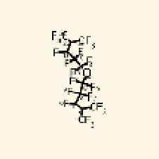 FC(C(C(F)(F)F)C(F)(F)F)C(F)(F)C(F)(F)OC(F)(F)C(F)(F)C(F)C(C(F)(F)F)C(F)(F)F